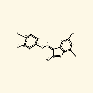 Cc1cc(C)c2c(c1)C(=NNc1ccc(C)c(Cl)c1)C(O)=N2